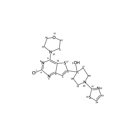 OC1(c2cc3nc(Cl)nc(N4CCOCC4)c3s2)CCN(c2nccs2)CC1